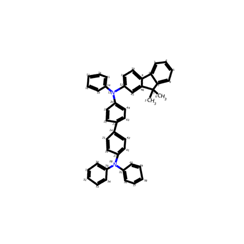 CC1(C)c2ccccc2-c2ccc(N(c3ccccc3)c3ccc(-c4ccc(N(c5ccccc5)c5ccccc5)cc4)cc3)cc21